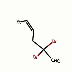 CC/C=C\CC(Br)(Br)C=O